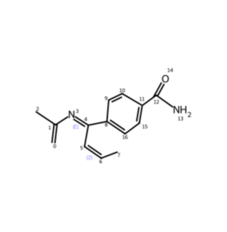 C=C(C)/N=C(\C=C/C)c1ccc(C(N)=O)cc1